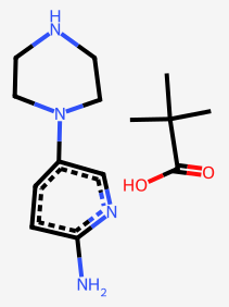 CC(C)(C)C(=O)O.Nc1ccc(N2CCNCC2)cn1